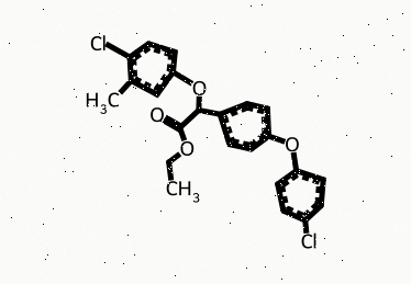 CCOC(=O)C(Oc1ccc(Cl)c(C)c1)c1ccc(Oc2ccc(Cl)cc2)cc1